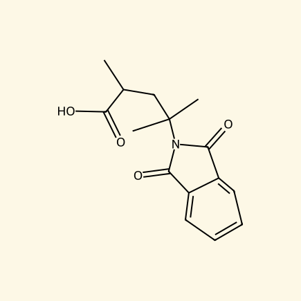 CC(CC(C)(C)N1C(=O)c2ccccc2C1=O)C(=O)O